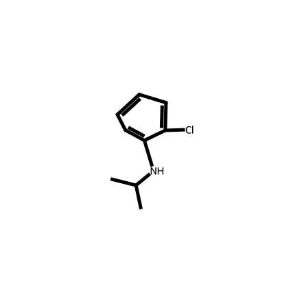 CC(C)Nc1ccccc1Cl